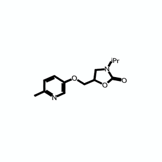 Cc1ccc(OCC2CN(C(C)C)C(=O)O2)cn1